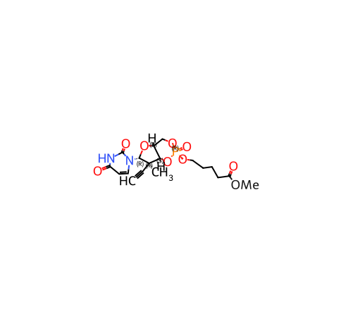 C#C[C@]1(C)[C@@H]2O[P@](=O)(OCCCCC(=O)OC)OC[C@H]2O[C@H]1n1ccc(=O)[nH]c1=O